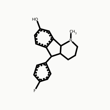 CN1CCCC2C(c3ccc(F)cc3)c3ccc(O)cc3C21